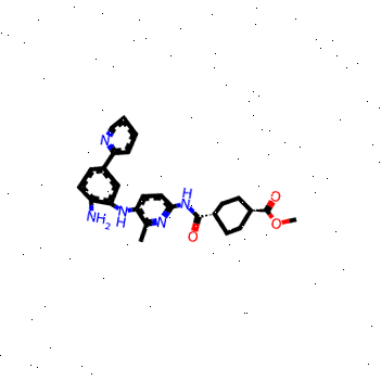 COC(=O)[C@H]1CC[C@H](C(=O)Nc2ccc(Nc3cc(-c4ccccn4)ccc3N)c(C)n2)CC1